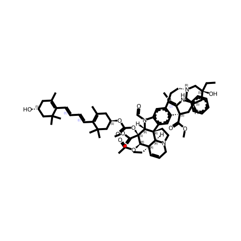 CC[C@]1(O)C[C@H]2C[N@](CC/C=C(\Nc3ccccc3)[C@@](C(=O)OC)(c3cc4c(cc3OC)N(C=O)[C@H]3[C@@](OC(=O)O[C@@H]5CC(C)=C(/C=C/C=C/C6=C(C)C[C@@H](O)CC6(C)C)C(C)(C)C5)(C(=O)OC)[C@H](OC(C)=O)[C@]5(CC)C=CCN6CC[C@]43[C@@H]65)C2)C1